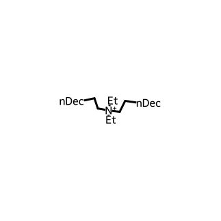 CCCCCCCCCCCC[N+](CC)(CC)CCCCCCCCCCCC